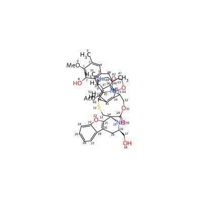 COc1c(C)cc2c(c1O)C1[C@@H]3[C@@H]4SC[C@]5(N[C@@H](CO)Cc6c5oc5ccccc65)C(=O)OCC(c5c6c(c(C)c(OC(C)=O)c54)OCO6)N3C(C)(C2)CN1C